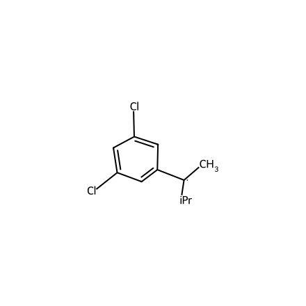 C[C](c1cc(Cl)cc(Cl)c1)C(C)C